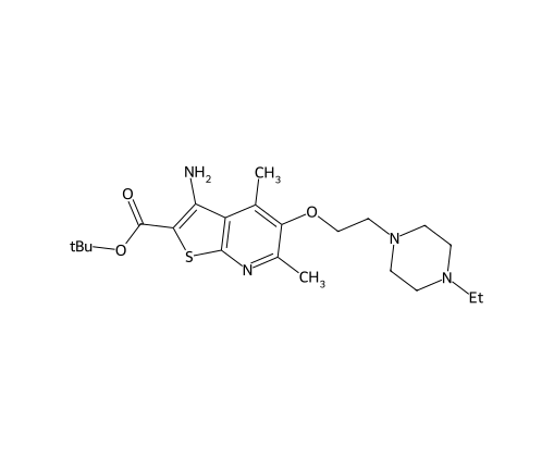 CCN1CCN(CCOc2c(C)nc3sc(C(=O)OC(C)(C)C)c(N)c3c2C)CC1